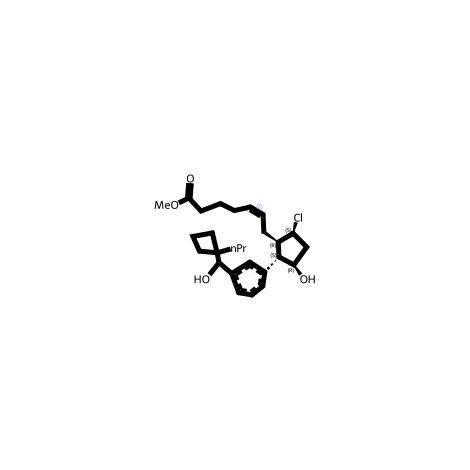 CCCC1(C(O)c2cccc([C@@H]3[C@@H](C/C=C\CCCC(=O)OC)[C@@H](Cl)C[C@H]3O)c2)CCC1